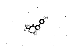 C=C1/C=C(C(N)=O)\N=C/CNc2ncc(-c3ccc(O)cc3)cc21